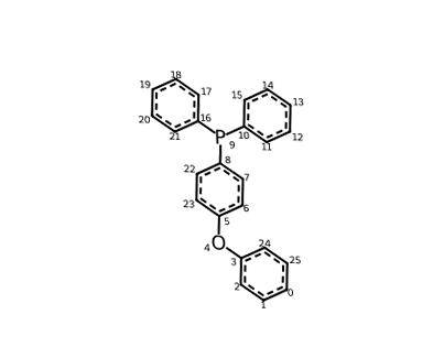 c1ccc(Oc2ccc(P(c3ccccc3)c3ccccc3)cc2)cc1